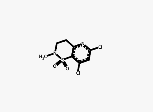 CN1CCc2nc(Cl)cc(Cl)c2S1(=O)=O